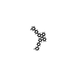 Cc1cc(-c2ccc(-c3ccc4c(c3)-c3ccccc3B3c5ccccc5-c5cc(-c6ccc(-c7ccnc(C)c7)cc6)ccc5N34)cc2)ccn1